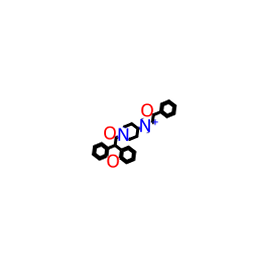 C[N+](C)(CC(=O)c1ccccc1)C1CCN(C(=O)C2c3ccccc3Oc3ccccc32)CC1